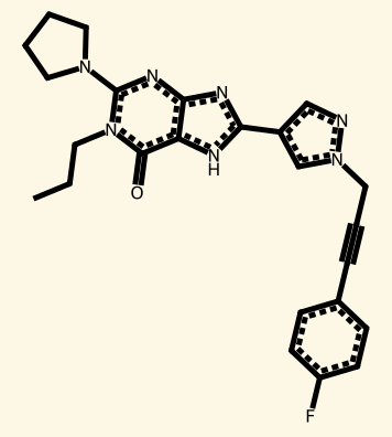 CCCn1c(N2CCCC2)nc2nc(-c3cnn(CC#Cc4ccc(F)cc4)c3)[nH]c2c1=O